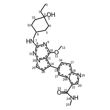 CCC1(O)CCC(Nc2nc(OC)c3c(-c4ccc5ncc(C(=O)NC)n5c4)ccn3n2)CC1